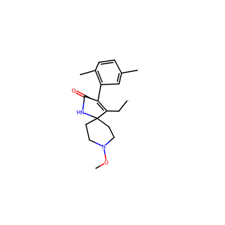 [CH2]CC1=C(c2cc(C)ccc2C)C(=O)NC12CCN(OC)CC2